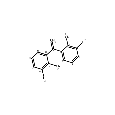 C=C(c1cccc(F)c1C#N)c1cccc(F)c1C#N